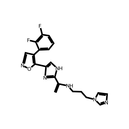 C=C(NCCCn1ccnc1)c1nc(-c2oncc2-c2cccc(F)c2F)c[nH]1